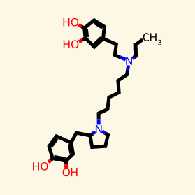 CCCN(CCCCCCN1CCCC1Cc1ccc(O)c(O)c1)CCc1ccc(O)c(O)c1